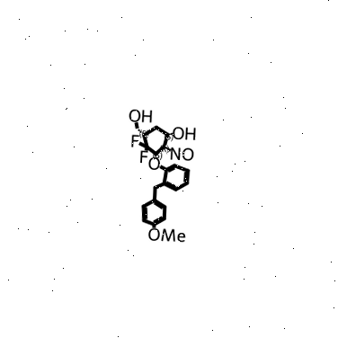 COc1ccc(Cc2ccccc2O[C@H]2[C@H](N=O)[C@@H](O)C[C@@H](CO)C2(F)F)cc1